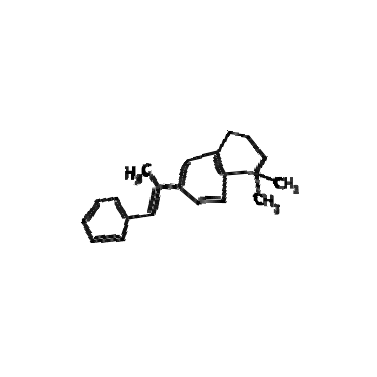 CC(=Cc1ccccc1)c1ccc2c(c1)CCCC2(C)C